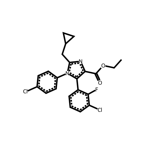 CCOC(=O)c1nc(CC2CC2)n(-c2ccc(Cl)cc2)c1-c1cccc(Cl)c1F